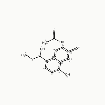 CC(=O)O.NCC(O)c1ccc(O)c2[nH]c(=O)ccc12